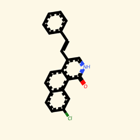 O=c1[nH]cc(C=Cc2ccccc2)c2ccc3ccc(Cl)cc3c12